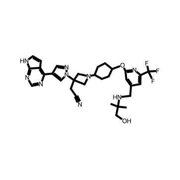 CC(C)(CO)NCc1cc(OC2CCC(N3CC(CC#N)(n4cc(-c5ncnc6[nH]ccc56)cn4)C3)CC2)nc(C(F)(F)F)c1